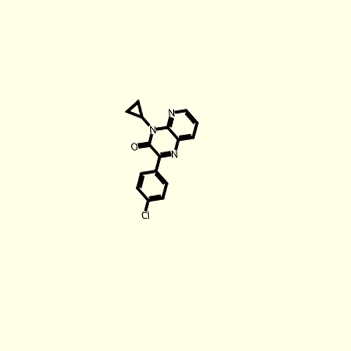 O=c1c(-c2ccc(Cl)cc2)nc2cccnc2n1C1CC1